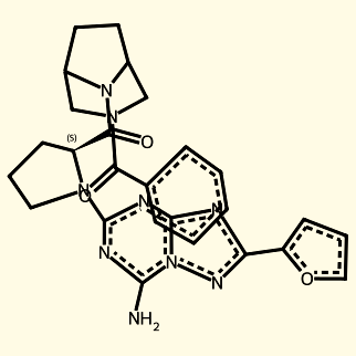 Nc1nc(N2CCC[C@H]2C(=O)N2C3CCC2CN(C(=O)c2ccccc2)C3)nc2nc(-c3ccco3)nn12